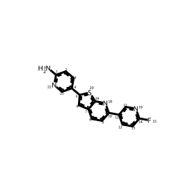 Nc1ccc(-c2cc3ccc(-c4ccc(F)nc4)nc3s2)cn1